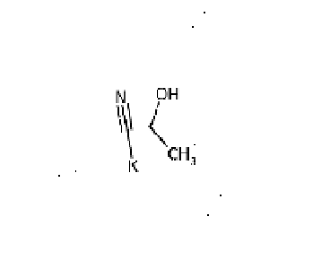 CCO.N#[C][K]